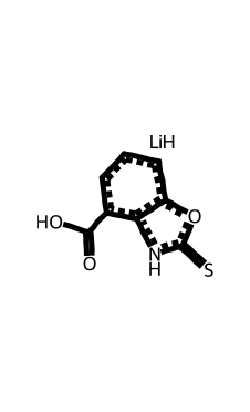 O=C(O)c1cccc2oc(=S)[nH]c12.[LiH]